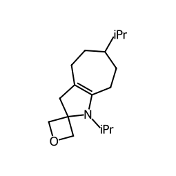 CC(C)C1CCC2=C(CC1)N(C(C)C)C1(COC1)C2